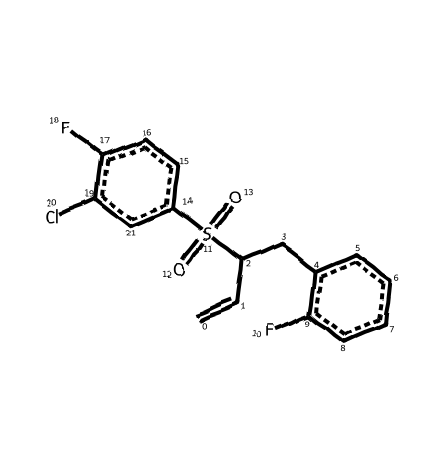 C=CC(Cc1ccccc1F)S(=O)(=O)c1ccc(F)c(Cl)c1